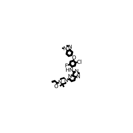 C=CC(=O)N1CCN(c2ccc3ncnc(Nc4cc(Cl)c(Oc5ccc6c(c5)ncn6C)cc4F)c3n2)CC1(C)C